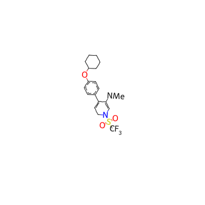 CNC1=CN(S(=O)(=O)C(F)(F)F)CC=C1c1ccc(OC2CCCCC2)cc1